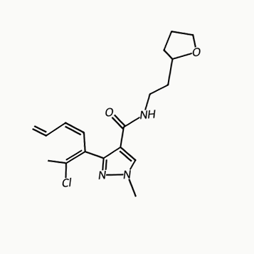 C=C/C=C\C(=C(/C)Cl)c1nn(C)cc1C(=O)NCCC1CCCO1